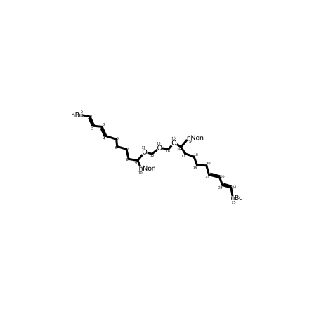 CCCCC=CC=CCCCCC(CCCCCCCCC)OCOCOC(CCCCC=CC=CCCCC)CCCCCCCCC